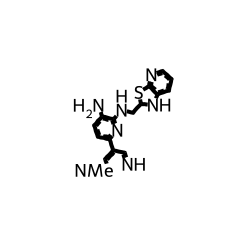 CN/C=C(\C=N)c1ccc(N)c(NCC2Nc3cccnc3S2)n1